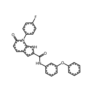 O=C(Nc1cccc(Oc2ccccc2)c1)c1cc2ccc(=O)n(-c3ccc(F)cc3)c2[nH]1